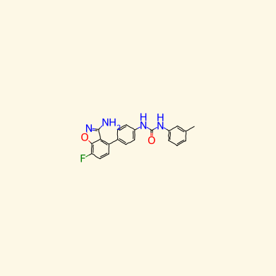 Cc1cccc(NC(=O)Nc2ccc(-c3ccc(F)c4onc(N)c34)cc2)c1